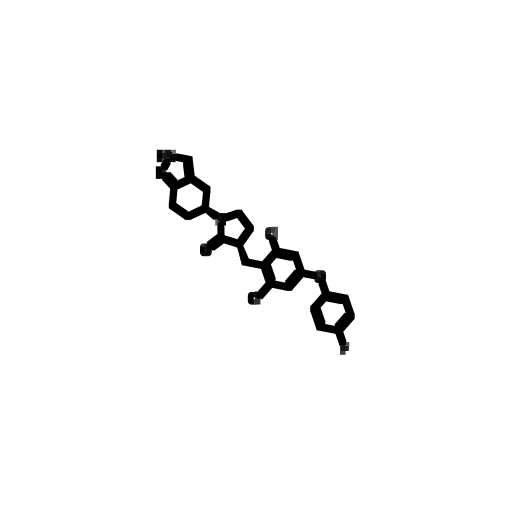 O=C1[C@H](Cc2c(Cl)cc(Oc3ccc(F)cc3)cc2Cl)CCN1[C@H]1CCc2n[nH]cc2C1